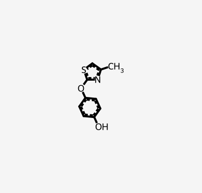 Cc1csc(Oc2ccc(O)cc2)n1